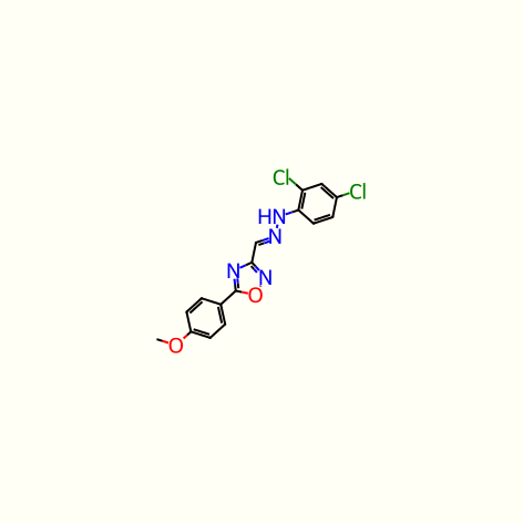 COc1ccc(-c2nc(C=NNc3ccc(Cl)cc3Cl)no2)cc1